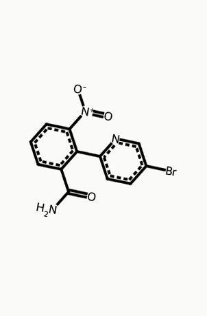 NC(=O)c1cccc([N+](=O)[O-])c1-c1ccc(Br)cn1